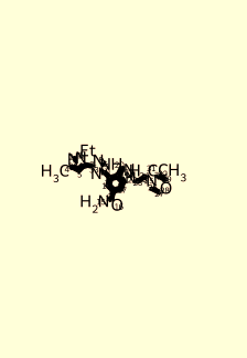 CCn1nc(C)cc1-c1n[nH]c(-c2cc(C(N)=O)cc3c2cnn3CCN2CCOCC2(C)C)n1